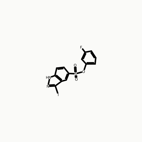 O=S(=O)(Oc1cccc(F)c1)c1ccc2[nH]nc(I)c2c1